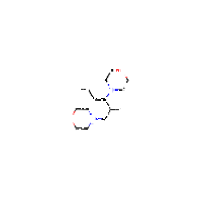 O=S(=O)(O)CCC(C(CN1CCOCC1)S(=O)(=O)O)N1CCOCC1